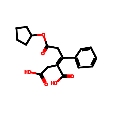 O=C(O)CC(C(=O)O)=C(CC(=O)OC1CCCC1)c1ccccc1